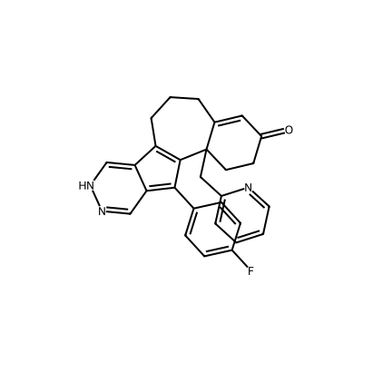 O=C1C=C2CCCc3c4c[nH]ncc-4c(-c4ccc(F)cc4)c3C2(Cc2ccccn2)CC1